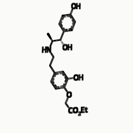 CCOC(=O)COc1ccc(CCN[C@@H](C)[C@@H](O)c2ccc(O)cc2)cc1O